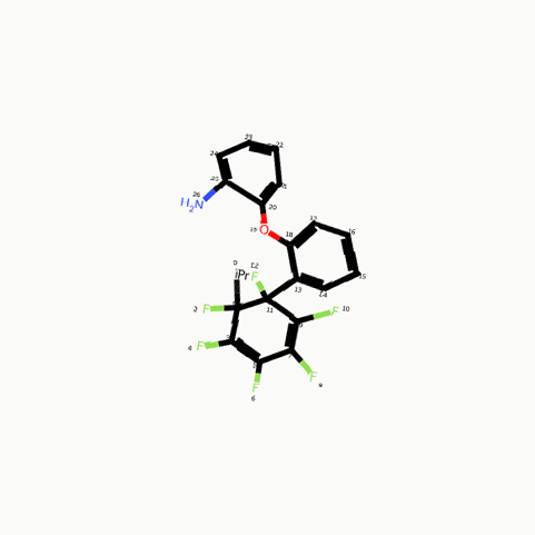 CC(C)C1(F)C(F)=C(F)C(F)=C(F)C1(F)c1ccccc1Oc1ccccc1N